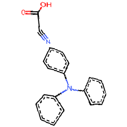 N#CC(=O)O.c1ccc(N(c2ccccc2)c2ccccc2)cc1